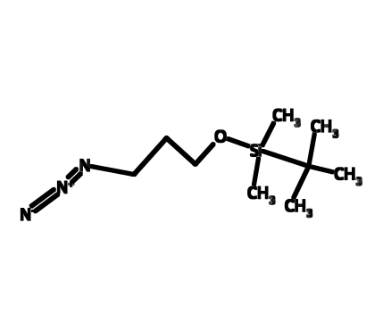 CC(C)(C)[Si](C)(C)OCCCN=[N+]=[N-]